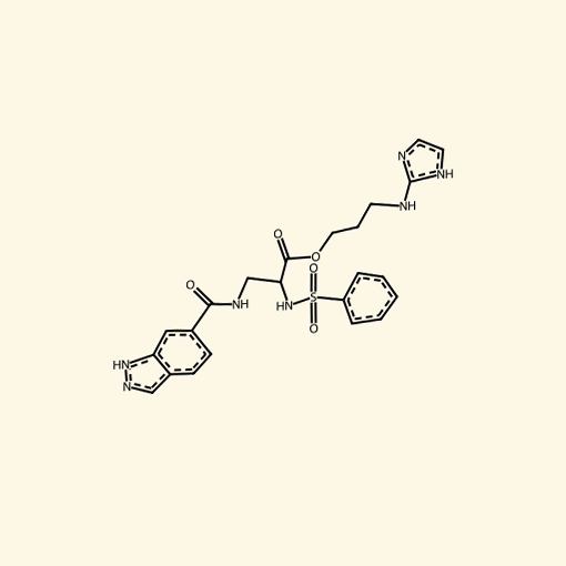 O=C(NCC(NS(=O)(=O)c1ccccc1)C(=O)OCCCNc1ncc[nH]1)c1ccc2cn[nH]c2c1